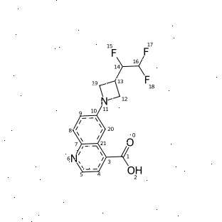 O=C(O)c1ccnc2ccc(N3CC(C(F)C(F)F)C3)cc12